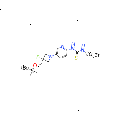 CCOC(=O)NC(=S)Nc1ccc(N2CC(F)(CO[Si](C)(C)C(C)(C)C)C2)cn1